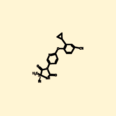 CC[C@@]1(C)NC(=O)N(c2ccc(Oc3ccc(C#N)cc3C3CC3)nc2)C1=O